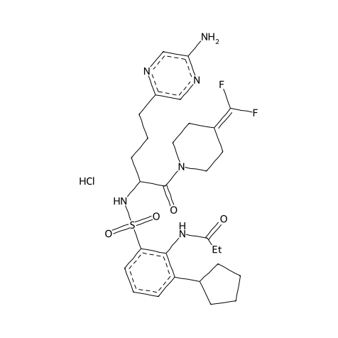 CCC(=O)Nc1c(C2CCCC2)cccc1S(=O)(=O)NC(CCCc1cnc(N)cn1)C(=O)N1CCC(=C(F)F)CC1.Cl